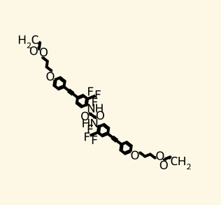 C=CC(=O)OCCCCOc1ccc(C#Cc2ccc(NC(=O)C(=O)Nc3ccc(C#Cc4ccc(OCCCCOC(=O)C=C)cc4)cc3C(F)(F)F)c(C(F)(F)F)c2)cc1